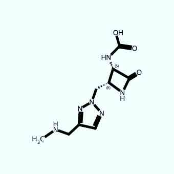 CNCc1cnn(C[C@H]2NC(=O)[C@H]2NC(=O)O)n1